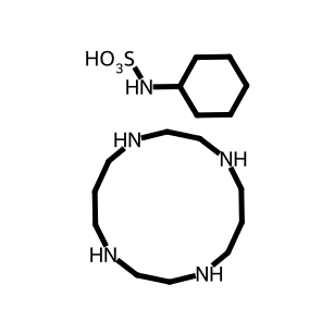 C1CNCCNCCCNCCNC1.O=S(=O)(O)NC1CCCCC1